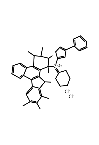 Cc1cc2c(c(C)c1C)C(C)c1c3c(c4ccccc4c1-2)C(C)C(C)C(C)[C]3(C)[Zr+2]([C]1=CC(c2ccccc2)=CC1)=[C]1CCCCC1.[Cl-].[Cl-]